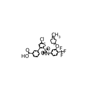 CN1CC[C@@H](Oc2cc(NS(=O)(=O)c3sc(Cl)cc3-c3cccc(C(=O)O)c3)ccc2C(F)(F)F)C1